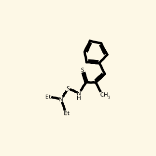 CCN(CC)SNC(=S)C(C)=Cc1ccccc1